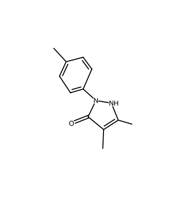 Cc1ccc(-n2[nH]c(C)c(C)c2=O)cc1